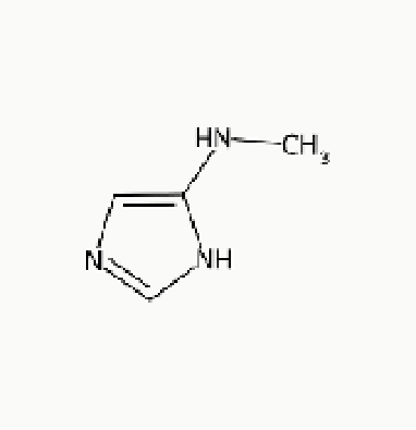 CNc1cnc[nH]1